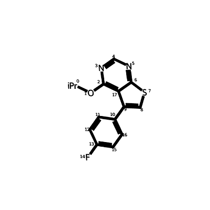 CC(C)Oc1ncnc2scc(-c3ccc(F)cc3)c12